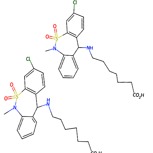 CN1c2ccccc2C(NCCCCCCC(=O)O)c2ccc(Cl)cc2S1(=O)=O.CN1c2ccccc2C(NCCCCCCC(=O)O)c2ccc(Cl)cc2S1(=O)=O.[NaH]